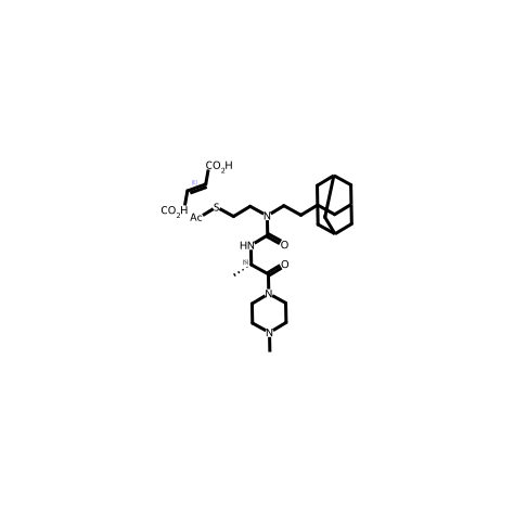 CC(=O)SCCN(CCC12CC3CC(CC(C3)C1)C2)C(=O)N[C@@H](C)C(=O)N1CCN(C)CC1.O=C(O)/C=C/C(=O)O